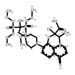 COOP(=O)(OOC)C(O)(CN1CCN(c2ccc3c(=O)ccn4c3c2OC(Cl)(C(=O)O)C4C)CC1)P(=O)(OOC)OOC